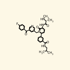 CN[C@H](C)C(=O)Nc1ccc(-c2cccc(C(=O)NCC(C)C)c2)n(Cc2cncc(C(=O)c3ccc(F)cc3)c2)c1=O